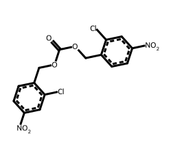 O=C(OCc1ccc([N+](=O)[O-])cc1Cl)OCc1ccc([N+](=O)[O-])cc1Cl